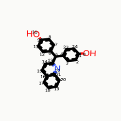 Oc1ccc(C(c2ccc(O)cc2)c2ccc3ccccc3n2)cc1